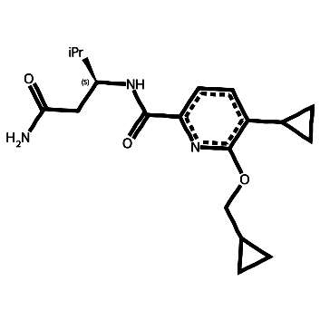 CC(C)[C@H](CC(N)=O)NC(=O)c1ccc(C2CC2)c(OCC2CC2)n1